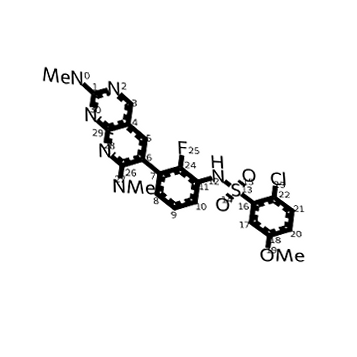 CNc1ncc2cc(-c3cccc(NS(=O)(=O)c4cc(OC)ccc4Cl)c3F)c(NC)nc2n1